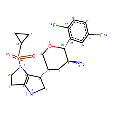 N[C@H]1C[C@H](C2CNC3=C2N(S(=O)(=O)C2CC2)CC3)CO[C@@H]1c1cc(F)ccc1F